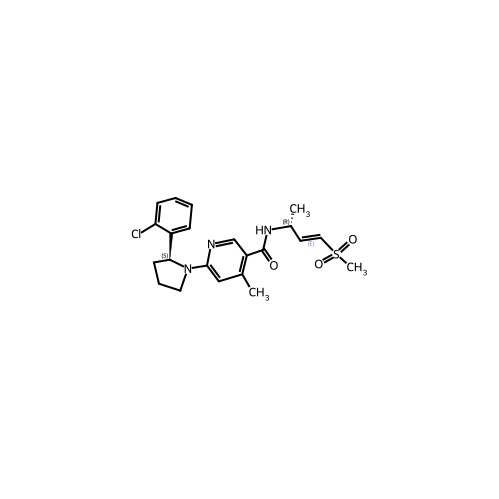 Cc1cc(N2CCC[C@H]2c2ccccc2Cl)ncc1C(=O)N[C@H](C)/C=C/S(C)(=O)=O